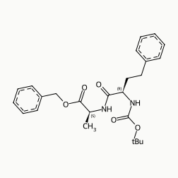 C[C@H](NC(=O)[C@@H](CCc1ccccc1)NC(=O)OC(C)(C)C)C(=O)OCc1ccccc1